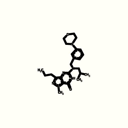 CCCc1nn(C)c2c(=O)[nH]c(N(Cc3cccc(N4CCOCC4)c3)CC(C)C)nc12